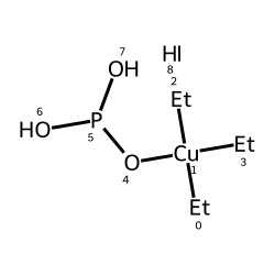 C[CH2][Cu]([CH2]C)([CH2]C)[O]P(O)O.I